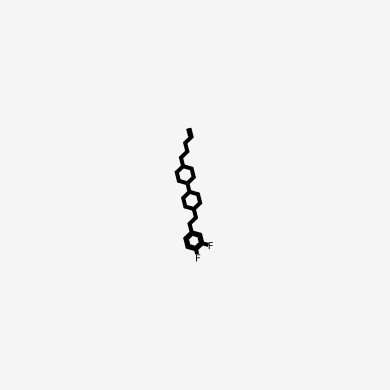 C=CCCCC1CCC(C2CCC(CCc3ccc(F)c(F)c3)CC2)CC1